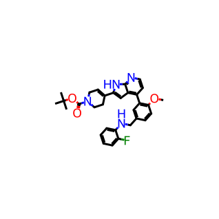 COc1ccc(CNc2ccccc2F)cc1-c1ccnc2[nH]c(C3=CCN(C(=O)OC(C)(C)C)CC3)cc12